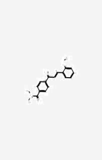 CC(C)Oc1ccccc1C=CC(=O)c1ccc(C(=O)N(C)C)cc1